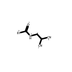 CCC(=O)NCC(C#N)C#N